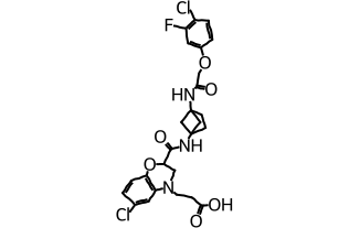 O=C(O)CCN1CC(C(=O)NC23CCC(NC(=O)COc4ccc(Cl)c(F)c4)(C2)C3)Oc2ccc(Cl)cc21